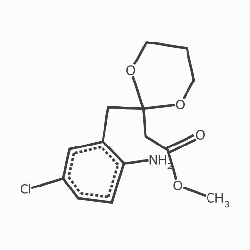 COC(=O)CC1(Cc2cc(Cl)ccc2N)OCCCO1